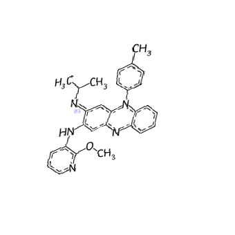 COc1ncccc1Nc1cc2nc3ccccc3n(-c3ccc(C)cc3)c-2c/c1=N\C(C)C